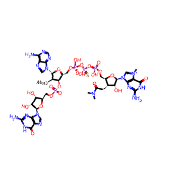 CO[C@@H]1[C@H](OP(=O)([O-])OC[C@H]2O[C@@H](n3cnc4c(=O)[nH]c(N)nc43)[C@H](O)[C@@H]2O)[C@@H](COP(=O)(O)OP(O)(=S)OP(=O)(O)OC[C@H]2O[C@@H](n3c[n+](C)c4c(=O)[nH]c(N)nc43)[C@H](O)[C@@H]2CC(=O)N(C)C)O[C@H]1n1cnc2c(N)ncnc21